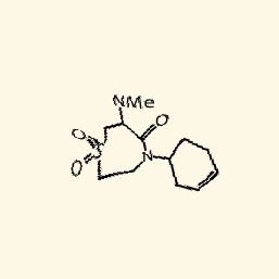 CNC1CS(=O)(=O)CCN(C2CC=CCC2)C1=O